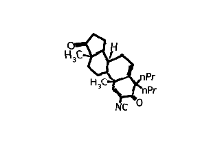 [C-]#[N+]C1=C[C@@]2(C)C(=CC[C@@H]3C2CC[C@]2(C)C(=O)CCC32)C(CCC)(CCC)C1=O